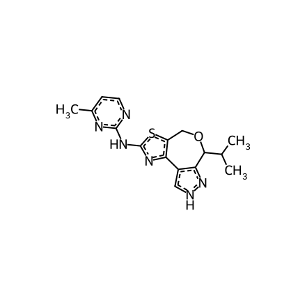 Cc1ccnc(Nc2nc3c(s2)COC(C(C)C)c2n[nH]cc2-3)n1